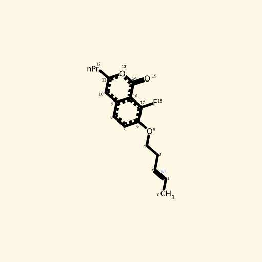 C/C=C/CCOc1ccc2cc(CCC)oc(=O)c2c1F